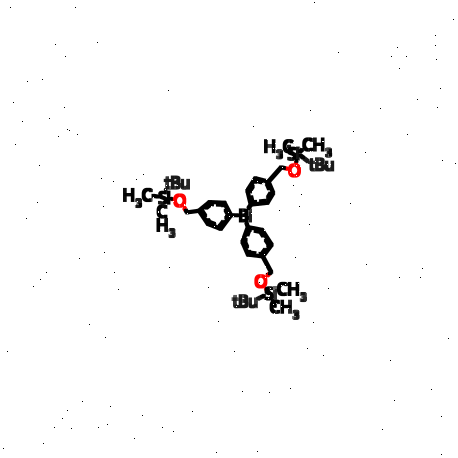 CC(C)(C)[Si](C)(C)OCc1cc[c]([Bi]([c]2ccc(CO[Si](C)(C)C(C)(C)C)cc2)[c]2ccc(CO[Si](C)(C)C(C)(C)C)cc2)cc1